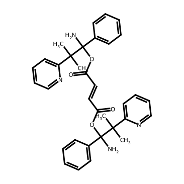 CC(C)(c1ccccn1)C(N)(OC(=O)/C=C/C(=O)OC(N)(c1ccccc1)C(C)(C)c1ccccn1)c1ccccc1